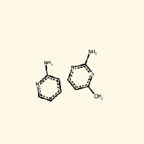 Cc1ccnc(N)n1.Nc1ccccn1